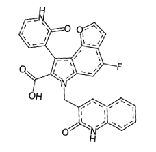 O=C(O)c1c(-c2ccc[nH]c2=O)c2c3occc3c(F)cc2n1Cc1cc2ccccc2[nH]c1=O